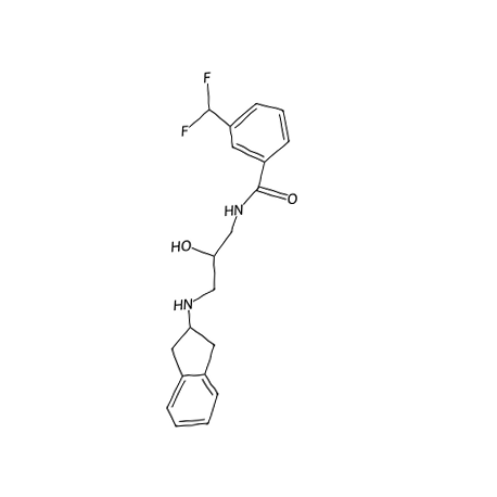 O=C(NCC(O)CNC1Cc2ccccc2C1)c1cccc(C(F)F)c1